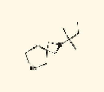 CCC(C)(C)N1CC2(CCCNC2)C1